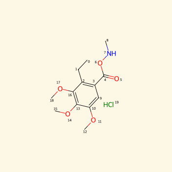 CCc1c(C(=O)ONC)cc(OC)c(OC)c1OC.Cl